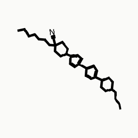 CCCCCCCC1(C#N)CCC(c2ccc(-c3ccc(C4CCC(CCCC)CC4)cc3)cc2)CC1